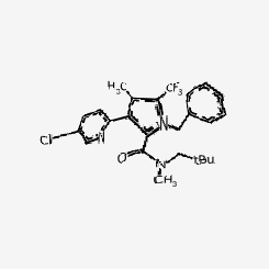 Cc1c(-c2ccc(Cl)cn2)c(C(=O)N(C)CC(C)(C)C)n(Cc2ccccc2)c1C(F)(F)F